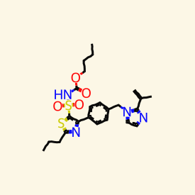 C=C(C)c1nccn1Cc1ccc(-c2nc(CCC)sc2S(=O)(=O)NC(=O)OCCCC)cc1